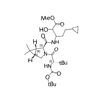 COC(=O)C(O)C(CCC1CC1)NC(=O)[C@@H]1[C@@H]2[C@H](CN1C(=O)[C@@H](NC(=O)OC(C)(C)C)C(C)(C)C)C2(C)C